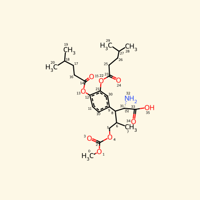 COC(=O)OCC(C)C(c1ccc(OC(=O)CCC(C)C)c(OC(=O)CCC(C)C)c1)[C@H](N)C(=O)O